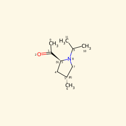 CC(=O)[C@@H]1C[C@@H](C)CN1C(C)C